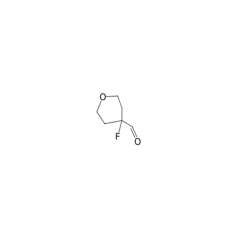 O=CC1(F)CCOCC1